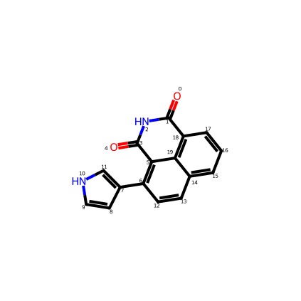 O=C1NC(=O)c2c(-c3cc[nH]c3)ccc3cccc1c23